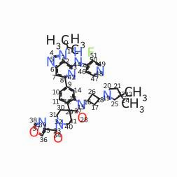 CC(C)n1cnc2cc(-c3ccc4c(c3)N([C@H]3C[C@@H](N5CCC(C)(C)C5)C3)C(=O)C43CCN(C(=O)c4cocn4)CC3)nc(Nc3ccncc3F)c21